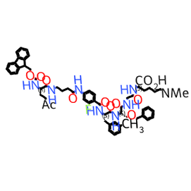 CNCCCC[C@H](NC(=O)CNC(=O)[C@H](COCc1ccccc1)NC(=O)[C@H](Cc1cccc(C)c1)NC(=O)c1ccc(NC(=O)CCCNC(=O)[C@@H](CCC(C)=O)NC(=O)OCC2c3ccccc3-c3ccccc32)cc1F)C(=O)O